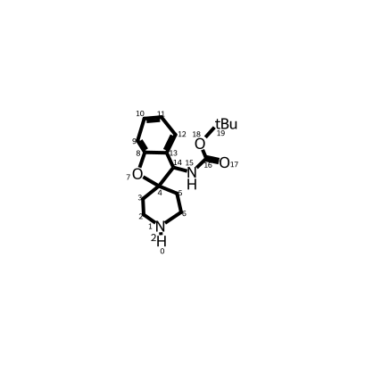 [2H]N1CCC2(CC1)Oc1ccccc1C2NC(=O)OC(C)(C)C